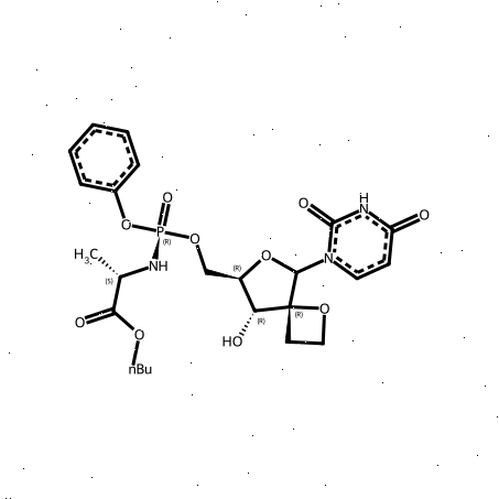 CCCCOC(=O)[C@H](C)N[P@@](=O)(OC[C@H]1OC(n2ccc(=O)[nH]c2=O)[C@@]2(CCO2)[C@@H]1O)Oc1ccccc1